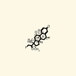 C[C@H]1C[C@H]2[C@@H]3C[C@H](F)C4=CC(=O)C=C[C@]4(C)[C@@]3(Cl)[C@@H](Cl)C[C@]2(C)[C@@]1(O)C(=O)CF